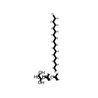 C=C(C)C(=O)O.C=C(C)C(=O)O.CCCCCCCCCCCCCCCCCC.OCCO